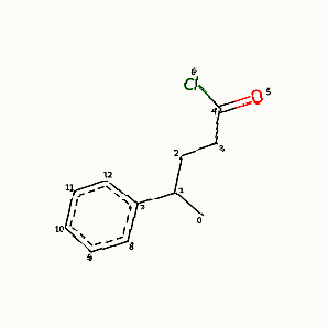 CC(CCC(=O)Cl)c1ccccc1